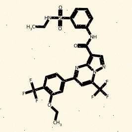 CCNS(=O)(=O)c1cccc(NC(=O)c2cnn3c(C(F)(F)F)cc(-c4ccc(C(F)(F)F)c(OCC)c4)nc23)c1